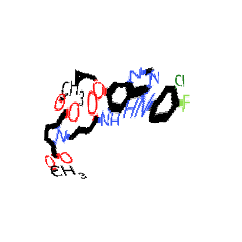 COC(=O)C1CCC(C(=O)OC)N1CC=CC(=O)Nc1cc2c(Nc3ccc(F)c(Cl)c3)ncnc2cc1OCC1CC1